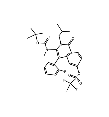 CC(C)Cn1c(N(C)C(=O)OC(C)(C)C)c(-c2ccccc2F)c2cc(OS(=O)(=O)C(F)(F)F)ccc2c1=O